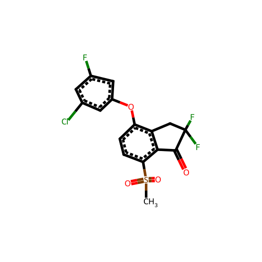 CS(=O)(=O)c1ccc(Oc2cc(F)cc(Cl)c2)c2c1C(=O)C(F)(F)C2